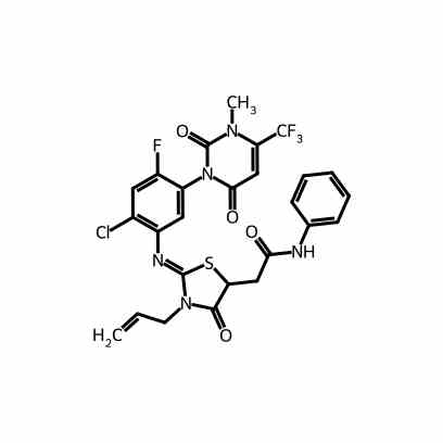 C=CCN1C(=O)C(CC(=O)Nc2ccccc2)SC1=Nc1cc(-n2c(=O)cc(C(F)(F)F)n(C)c2=O)c(F)cc1Cl